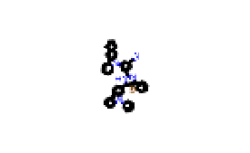 N#Cc1cc(C2=Nc3c(sc4ccccc34)C(c3ccc4c5ccccc5n(-c5ccccc5)c4c3)N2)cc(N2c3cc4ccccc4cc3C3C=CC=CC32)c1